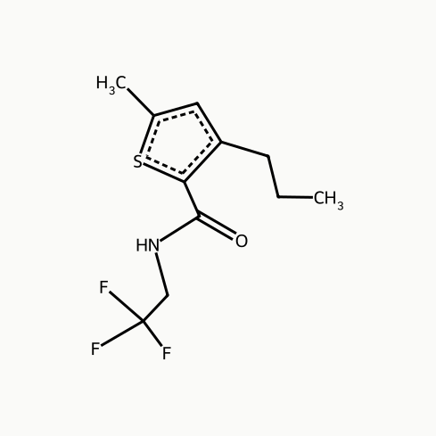 CCCc1cc(C)sc1C(=O)NCC(F)(F)F